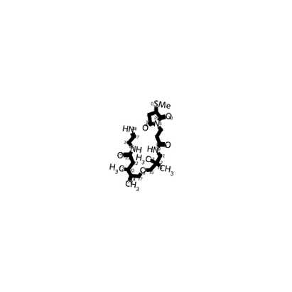 CSC1CC(=O)N(CCC(=O)NCC(C)(C)COCC(C)C(C)CC(=O)NCC=N)C1=O